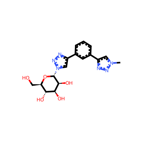 Cn1cc(-c2cccc(-c3cn([C@H]4O[C@H](CO)[C@@H](O)[C@H](O)[C@@H]4O)nn3)c2)nn1